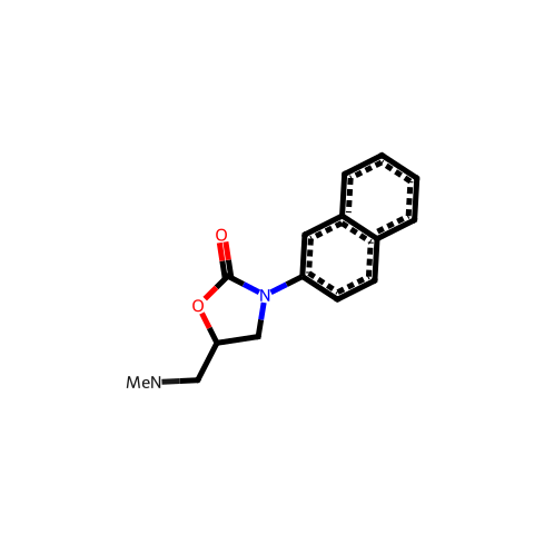 CNCC1CN(c2ccc3ccccc3c2)C(=O)O1